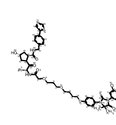 CC(C)[C@H](NC(=O)COCCCOCCCCOc1ccc(N2C(=S)N(c3ccc(C#N)c(Cl)c3)C(=O)C2(C)C)cc1)C(=O)C1C[C@H](O)C[C@H]1C(=O)NCc1ccc(-c2cncs2)cc1